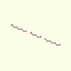 CC(C)CCCCCCOC(=O)CCCC(=O)OCCCCCCC(C)C